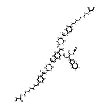 C=CC(=O)OCCCCCCOc1ccc(OC(=O)[C@H]2CC[C@H](OC(=O)c3ccc(OC(=O)[C@H]4CC[C@H](OC(=O)c5ccc(OCCCCCCOC(=O)C=C)cc5)CC4)cc3/C=N/N(c3nc4ccccc4s3)C(C)CC#N)CC2)cc1